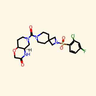 O=C1COC2CCN(C(=O)N3CCC4(CC3)CN(S(=O)(=O)c3ccc(F)cc3Cl)C4)C[C@H]2N1